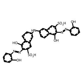 O=S(=O)(O)c1cc2cc(Nc3ccc4c(O)c(N=Nc5ccccc5O)c(S(=O)(=O)O)cc4c3)ccc2c(O)c1N=Nc1ccccc1O